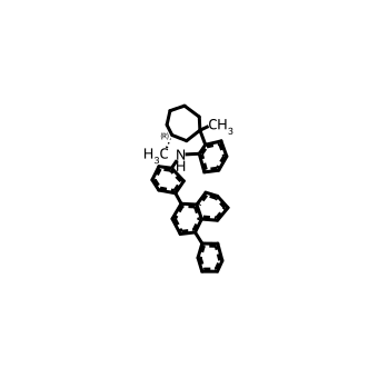 C[C@@H]1CCCCC(C)(c2ccccc2Nc2cccc(-c3ccc(-c4ccccc4)c4ccccc34)c2)C1